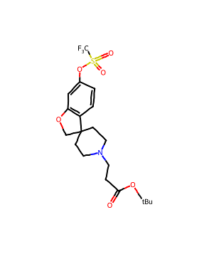 CC(C)(C)OC(=O)CCN1CCC2(CC1)COc1cc(OS(=O)(=O)C(F)(F)F)ccc12